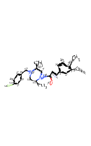 COc1cc(/C=C/C(=O)N2CC(C)N(Cc3ccc(F)cc3)CC2C)ccc1C